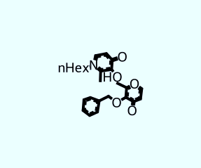 CCCCCCn1ccc(=O)c(O)c1C.Cc1occc(=O)c1OCc1ccccc1